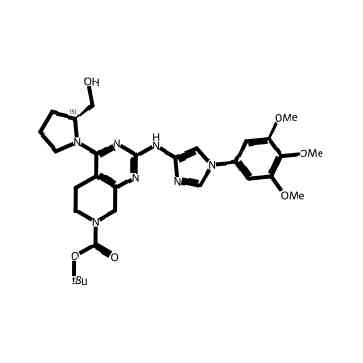 COc1cc(-n2cnc(Nc3nc4c(c(N5CCC[C@H]5CO)n3)CCN(C(=O)OC(C)(C)C)C4)c2)cc(OC)c1OC